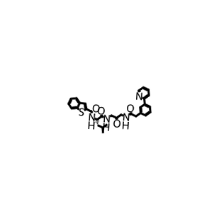 CC(C)C[C@H](NC(=O)c1cc2ccccc2s1)C(=O)NCC(=O)CNC(=O)Cc1cccc(-c2ccccn2)c1